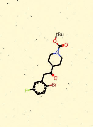 CC(C)(C)OC(=O)N1CCC(C(=O)Cc2cc(F)ccc2Br)CC1